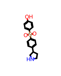 O=S(=O)(c1ccc(O)cc1)c1ccc(C2CCNC2)cc1